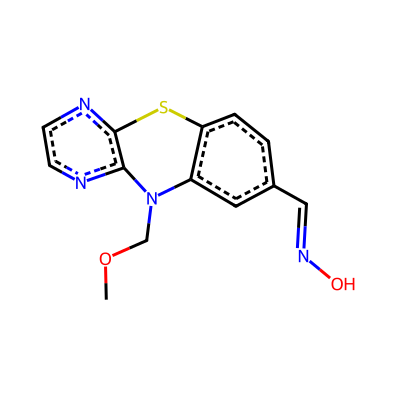 COCN1c2cc(C=NO)ccc2Sc2nccnc21